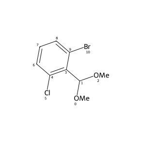 COC(OC)c1c(Cl)cccc1Br